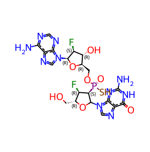 Nc1nc2c(ncn2C2O[C@H](CO)[C@@H](F)[C@H]2P(=O)(S)OC[C@H]2O[C@@H](n3cnc4c(N)ncnc43)[C@@H](F)[C@@H]2O)c(=O)[nH]1